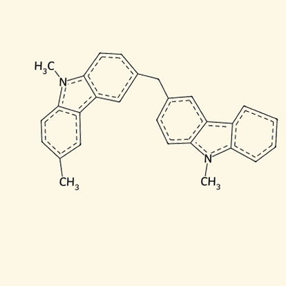 Cc1ccc2c(c1)c1cc(Cc3ccc4c(c3)c3ccccc3n4C)ccc1n2C